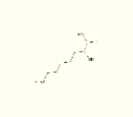 CCCCCCCCCCCC(O)C(C)O